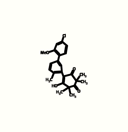 COc1cc(Cl)ccc1-c1ccc(C)c(C2=C(O)C(C)(C)C(=O)C(C)(C)C2=O)c1